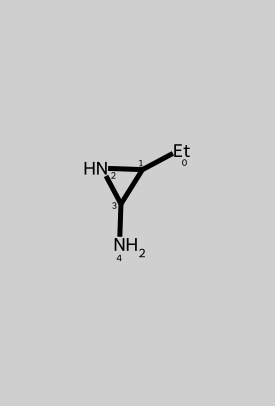 CCC1NC1N